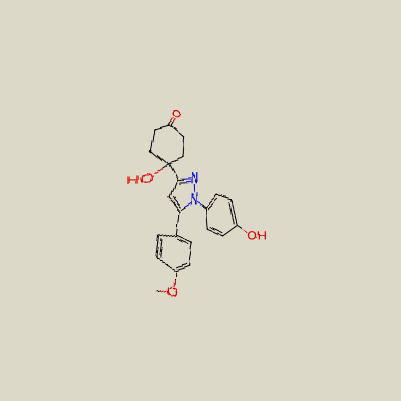 COc1ccc(-c2cc(C3(O)CCC(=O)CC3)nn2-c2ccc(O)cc2)cc1